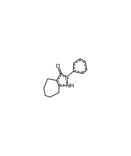 O=c1c2c([nH]n1-c1ccccc1)CCCCC2